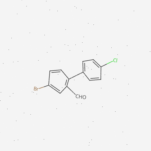 O=Cc1cc(Br)ccc1-c1ccc(Cl)cc1